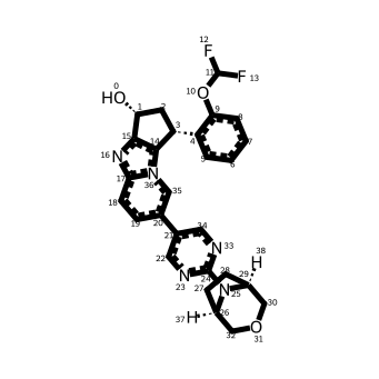 O[C@@H]1C[C@H](c2ccccc2OC(F)F)c2c1nc1ccc(-c3cnc(N4[C@@H]5CC[C@H]4COC5)nc3)cn21